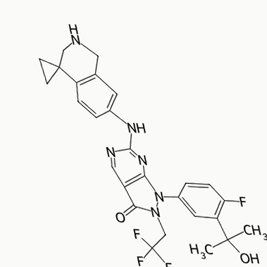 CC(C)(O)c1cc(-n2c3nc(Nc4ccc5c(c4)CNCC54CC4)ncc3c(=O)n2CC(F)(F)F)ccc1F